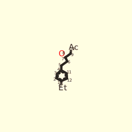 CCc1ccc(CCC(=O)CC(C)=O)cc1